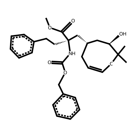 COC(=O)[C@@](CCc1ccccc1)(C[C@H]1C/C=C\CC(C)(C)[C@H](O)C1)NC(=O)OCc1ccccc1